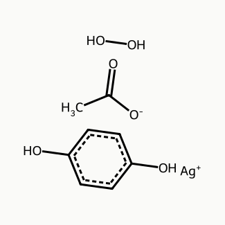 CC(=O)[O-].OO.Oc1ccc(O)cc1.[Ag+]